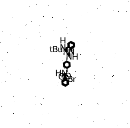 CC(C)(C)Nc1nc(NC[C@H]2CC[C@H](CNS(=O)(=O)c3ccccc3Br)CC2)nc2ccccc12